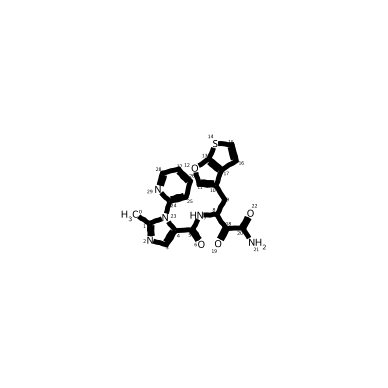 Cc1ncc(C(=O)NC(Cc2coc3sccc23)C(=O)C(N)=O)n1-c1ccccn1